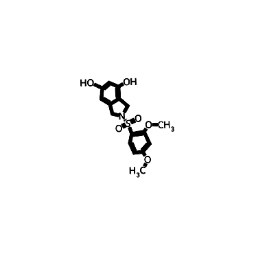 COc1ccc(S(=O)(=O)N2Cc3cc(O)cc(O)c3C2)c(OC)c1